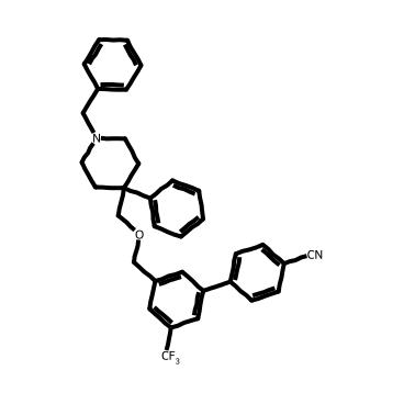 N#Cc1ccc(-c2cc(COCC3(c4ccccc4)CCN(Cc4ccccc4)CC3)cc(C(F)(F)F)c2)cc1